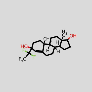 C[C@]12CCC(O)(C(F)(F)C(F)(F)F)C=C1CC[C@@H]1[C@H]2CC[C@]2(C)C(O)CC[C@@H]12